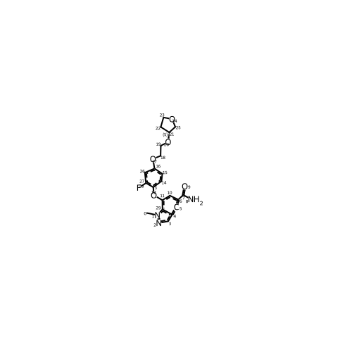 Cn1ncc2cc(C(N)=O)cc(Oc3ccc(OCCO[C@H]4CCOC4)cc3F)c21